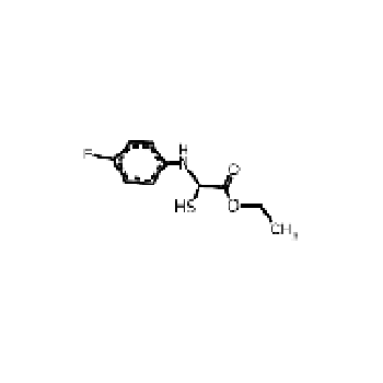 CCOC(=O)C(S)Nc1ccc(F)cc1